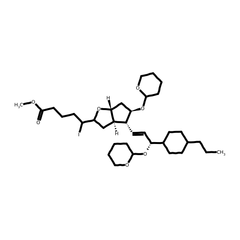 CCCC1CCC([C@@H](/C=C/[C@@H]2[C@H]3CC(C(I)CCCC(=O)OC)O[C@@H]3C[C@H]2OC2CCCCO2)OC2CCCCO2)CC1